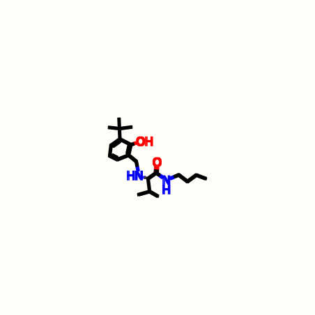 CCCCNC(=O)[C@@H](NCc1cccc(C(C)(C)C)c1O)C(C)C